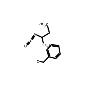 O=C=NC(CC(=O)O)C(=O)O.[O]Cc1ccccc1